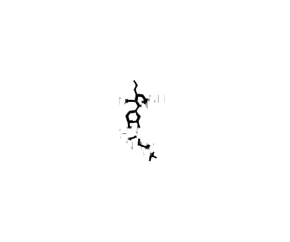 CCCc1cc(N)nc(-c2ccc3c(c2)CN([C@@H](CCC(=O)OC(C)(C)C)C(N)=O)C3=O)c1C#N